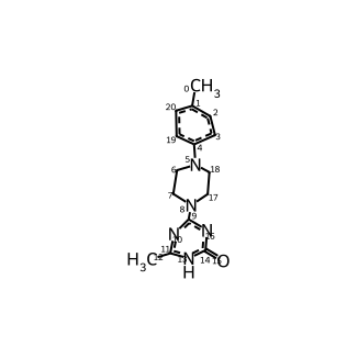 Cc1ccc(N2CCN(c3nc(C)[nH]c(=O)n3)CC2)cc1